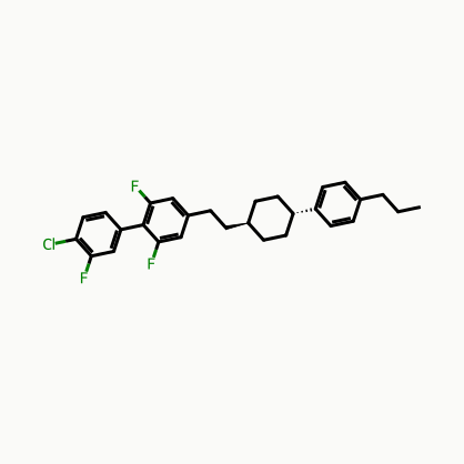 CCCc1ccc([C@H]2CC[C@H](CCc3cc(F)c(-c4ccc(Cl)c(F)c4)c(F)c3)CC2)cc1